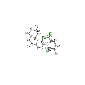 C/C=C(\C=C/CC(C)CC1CCC(C)CC1)c1c(C(F)F)ccc(C)c1F